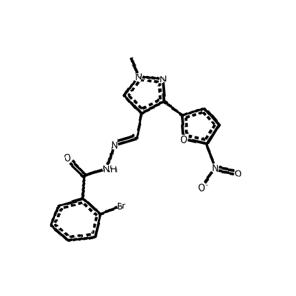 Cn1cc(C=NNC(=O)c2ccccc2Br)c(-c2ccc([N+](=O)[O-])o2)n1